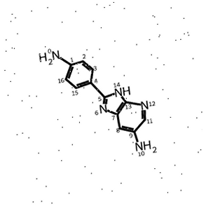 Nc1ccc(-c2nc3cc(N)cnc3[nH]2)cc1